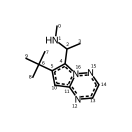 CNC(C)c1c(C(C)(C)C)cc2nccnn12